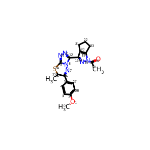 COc1ccc(C2=Nn3c(nnc3-c3nn(C(C)=O)c4c3CCC4)SC2C)cc1